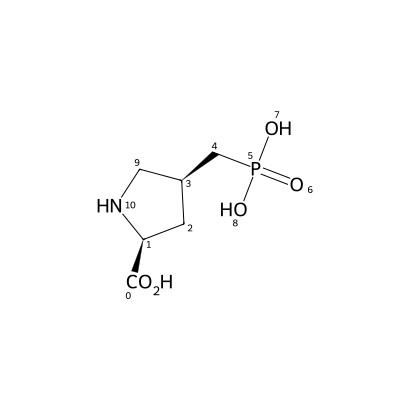 O=C(O)[C@@H]1C[C@H](CP(=O)(O)O)CN1